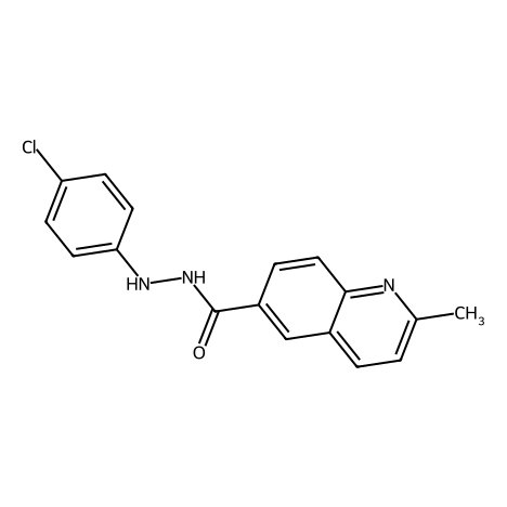 Cc1ccc2cc(C(=O)NNc3ccc(Cl)cc3)ccc2n1